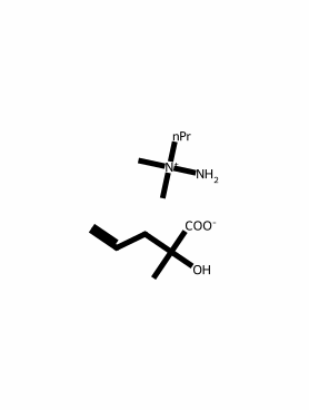 C=CCC(C)(O)C(=O)[O-].CCC[N+](C)(C)N